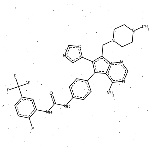 CN1CCN(Cc2c(-c3cnco3)c(-c3ccc(NC(=O)Nc4cc(C(F)(F)F)ccc4F)cc3)c3c(N)ncnn23)CC1